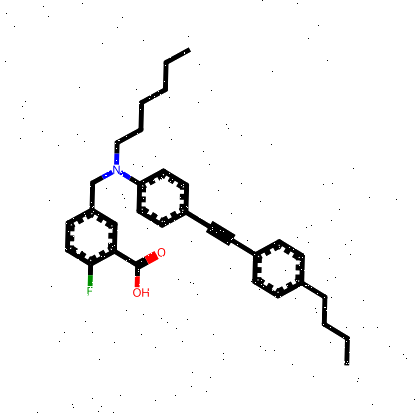 CCCCCCN(Cc1ccc(F)c(C(=O)O)c1)c1ccc(C#Cc2ccc(CCCC)cc2)cc1